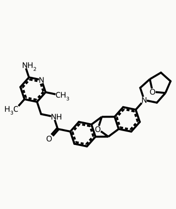 Cc1cc(N)nc(C)c1CNC(=O)c1ccc2c(c1)C1OC2c2ccc(N3CC4CCC(C3)O4)cc21